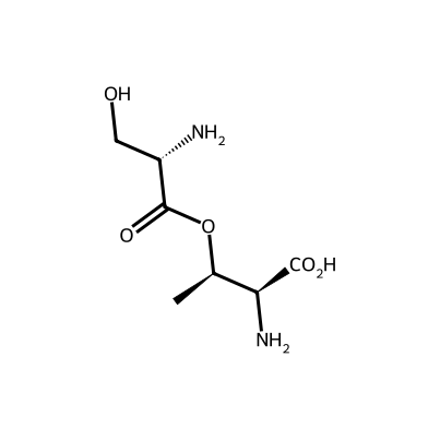 C[C@@H](OC(=O)[C@@H](N)CO)[C@H](N)C(=O)O